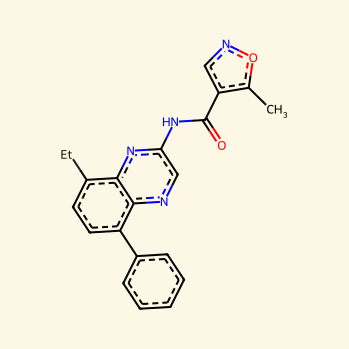 CCc1ccc(-c2ccccc2)c2ncc(NC(=O)c3cnoc3C)nc12